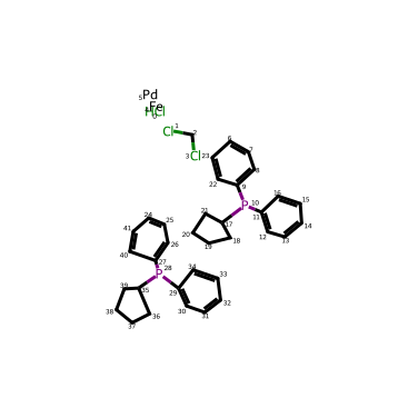 Cl.ClCCl.[Fe].[Pd].c1ccc(P(c2ccccc2)C2CCCC2)cc1.c1ccc(P(c2ccccc2)C2CCCC2)cc1